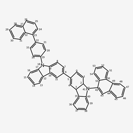 C1=CC2C(C=C1c1ccc3c(c1)c1ccccc1n3-c1ccc(-c3cccc4ccccc34)cc1)c1ccccc1N2c1cc2ccccc2c2ccccc12